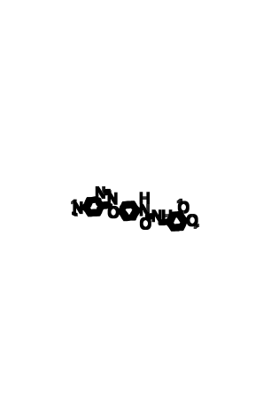 COc1ccc(CNC(=O)Nc2ccc(Oc3ncnc4cc(N(C)C)ccc34)cc2)cc1OC